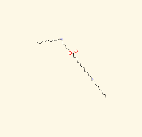 CCCCCCCC/C=C\CCCCOC(=O)CCCCCCCCC/C=C/CCCCCCCC